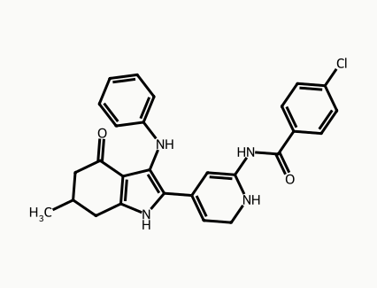 CC1CC(=O)c2c([nH]c(C3=CCNC(NC(=O)c4ccc(Cl)cc4)=C3)c2Nc2ccccc2)C1